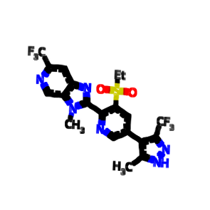 CCS(=O)(=O)c1cc(-c2c(C(F)(F)F)n[nH]c2C)cnc1-c1nc2cc(C(F)(F)F)ncc2n1C